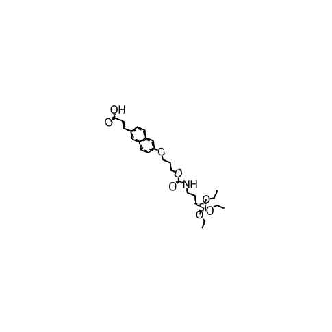 CCO[Si](CCCNC(=O)OCCCOc1ccc2cc(C=CC(=O)O)ccc2c1)(OCC)OCC